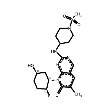 Cc1cc2cnc(NC3CCN(S(C)(=O)=O)CC3)nc2n([C@H]2C[C@H](O)CC[C@@H]2F)c1=O